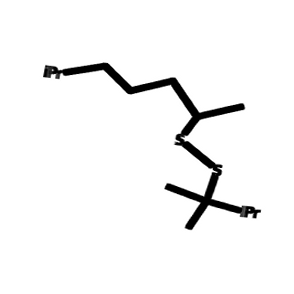 CC(C)CCCC(C)SSC(C)(C)C(C)C